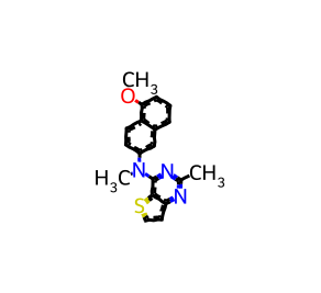 COc1cccc2cc(N(C)c3nc(C)nc4ccsc34)ccc12